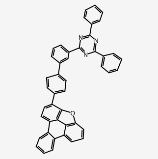 c1ccc(-c2nc(-c3ccccc3)nc(-c3cccc(-c4ccc(-c5ccc6c7ccccc7c7cccc8oc5c6c87)cc4)c3)n2)cc1